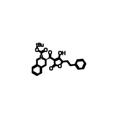 CC(C)(C)OC(=O)N1Cc2ccccc2C[C@H]1C(=O)C1=C(O)C(CCc2ccccc2)OC1=O